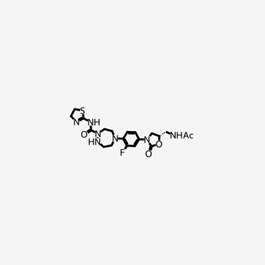 CC(=O)NC[C@H]1CN(c2ccc(N3CCNN(C(=O)NC4=NCCS4)CC3)c(F)c2)C(=O)O1